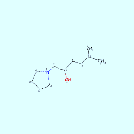 CC(C)CCC(O)CN1CCCC1